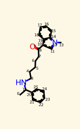 CC(NCCCCCC(=O)c1cn(C)c2ccccc12)c1ccccc1